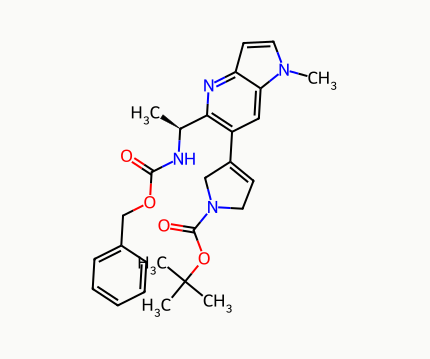 C[C@H](NC(=O)OCc1ccccc1)c1nc2ccn(C)c2cc1C1=CCN(C(=O)OC(C)(C)C)C1